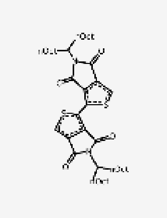 CCCCCCCCC(CCCCCCCC)N1C(=O)c2csc(-c3scc4c3C(=O)N(C(CCCCCCCC)CCCCCCCC)C4=O)c2C1=O